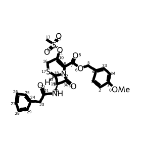 COc1ccc(COC(=O)C2=C(OS(C)(=O)=O)CS[C@@H]3[C@H](NC(=O)Cc4ccccc4)C(=O)N23)cc1